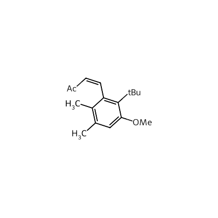 COc1cc(C)c(C)c(/C=C\C(C)=O)c1C(C)(C)C